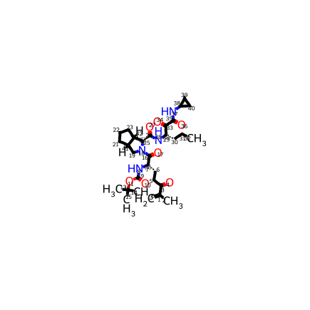 C=C(C)C(=O)CC[C@H](NC(=O)OC(C)(C)C)C(=O)N1C[C@@H]2CCC[C@@H]2[C@H]1C(=O)N[C@@H](CCC)C(=O)C(=O)NC1CC1